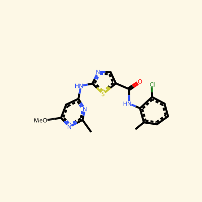 COc1cc(Nc2ncc(C(=O)Nc3c(C)cccc3Cl)s2)nc(C)n1